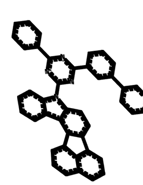 c1ccc(-c2cccc(-c3nc(-c4ccccc4)nc(-n4c5ccccc5c5c6c(ccc54)-c4cccc5cccc-6c45)n3)c2)cc1